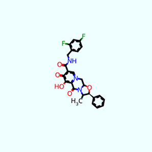 CC1[C@H](c2ccccc2)OC2Cn3cc(C(=O)NCc4ccc(F)cc4F)c(=O)c(O)c3C(=O)N21